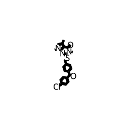 Cc1cn(C)c2nc(SCc3ccc(C(=O)c4ccc(Cl)cc4)cc3)n(C)c(=O)c12